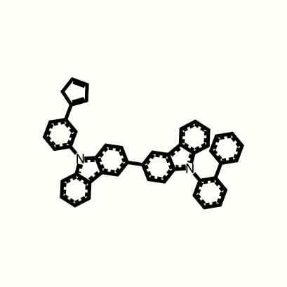 C1=CCC(c2cccc(-n3c4ccccc4c4cc(-c5ccc6c(c5)c5ccccc5n6-c5ccccc5-c5ccccc5)ccc43)c2)=C1